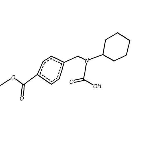 COC(=O)c1ccc(CN(C(=O)O)C2CCCCC2)cc1